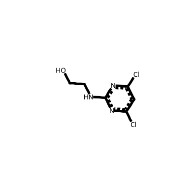 OCCNc1nc(Cl)cc(Cl)n1